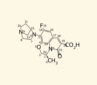 C[C@H]1COc2c(N3CCN4CCC3C4)c(F)cc3cc(C(=O)O)c(=O)n1c23